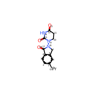 CC(C)c1ccc2c(c1)CN(N1CCC(=O)NC1=O)C2=O